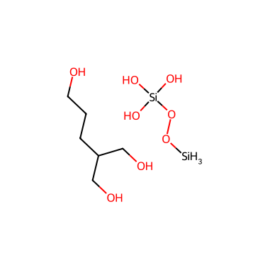 OCCCC(CO)CO.O[Si](O)(O)OO[SiH3]